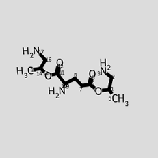 CC(CN)OC(=O)CC[C@H](N)C(=O)OC(C)CN